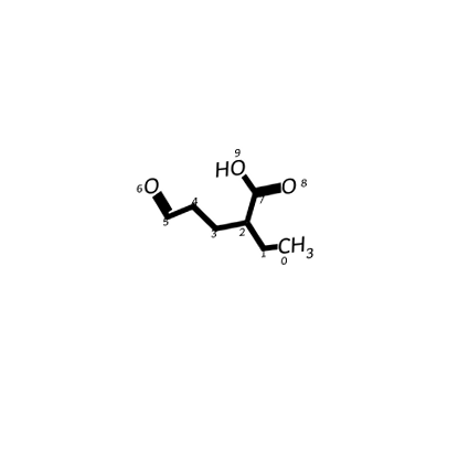 CCC(CCC=O)C(=O)O